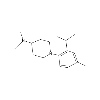 Cc1ccc(N2CCC(N(C)C)CC2)c(C(C)C)c1